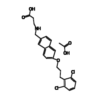 CC(=O)O.O=C(O)CCNCc1ccc2cc(OCCCc3c(Cl)cccc3Cl)ccc2c1